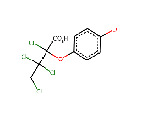 O=C(O)C(Cl)(Oc1ccc(O)cc1)C(Cl)(Cl)CCl